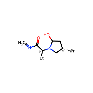 C=NC(=O)[C@H](CC)N1C[C@@H](CCC)CC1O